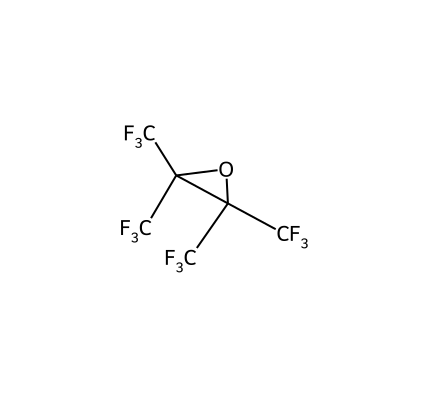 FC(F)(F)C1(C(F)(F)F)OC1(C(F)(F)F)C(F)(F)F